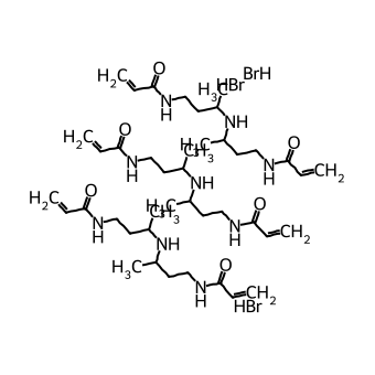 Br.Br.Br.C=CC(=O)NCCC(C)NC(C)CCNC(=O)C=C.C=CC(=O)NCCC(C)NC(C)CCNC(=O)C=C.C=CC(=O)NCCC(C)NC(C)CCNC(=O)C=C